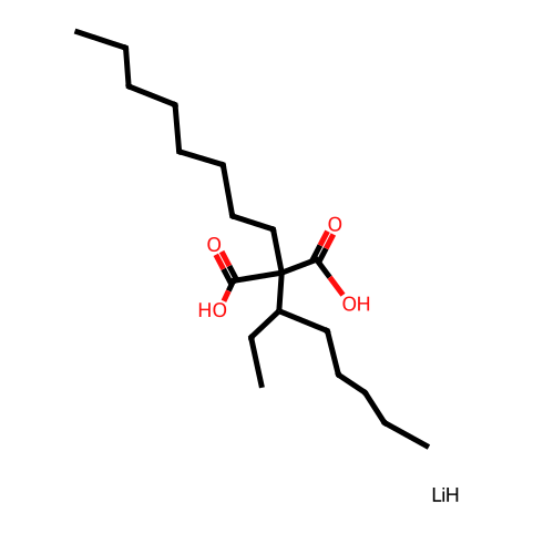 CCCCCCCCC(C(=O)O)(C(=O)O)C(CC)CCCCC.[LiH]